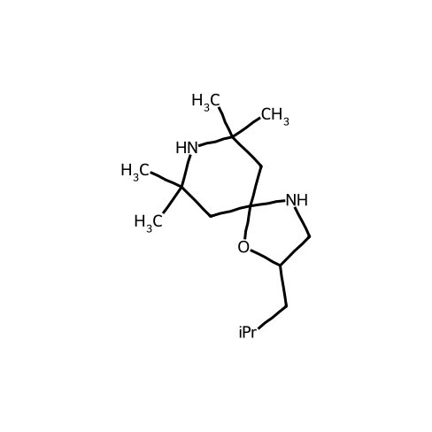 CC(C)CC1CNC2(CC(C)(C)NC(C)(C)C2)O1